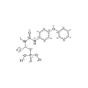 CCOP(=S)(OCC)SC(N(C)C(=O)Nc1ccc(Oc2ccccc2)cc1)C(F)(F)F